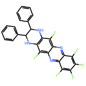 Fc1c(F)c(F)c2nc3c(F)c4c(c(F)c3nc2c1F)NC(c1ccccc1)C(c1ccccc1)N4